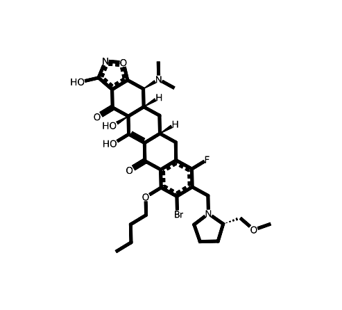 CCCCOc1c(Br)c(CN2CCC[C@H]2COC)c(F)c2c1C(=O)C1=C(O)[C@]3(O)C(=O)c4c(O)noc4[C@@H](N(C)C)[C@@H]3C[C@@H]1C2